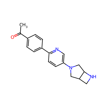 CC(=O)c1ccc(-c2ccc(N3CC4CNC4C3)cn2)cc1